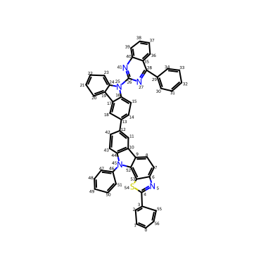 c1ccc(-c2nc3ccc4c5cc(-c6ccc7c(c6)c6ccccc6n7-c6nc(-c7ccccc7)c7ccccc7n6)ccc5n(-c5ccccc5)c4c3s2)cc1